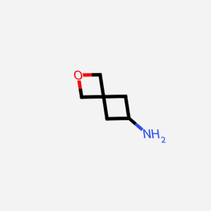 NC1CC2(COC2)C1